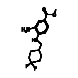 COC(=O)c1ccc(NCC2CCC(F)(F)CC2)c(N)c1